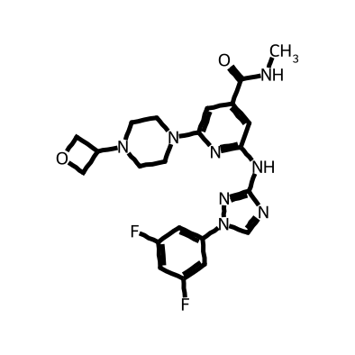 CNC(=O)c1cc(Nc2ncn(-c3cc(F)cc(F)c3)n2)nc(N2CCN(C3COC3)CC2)c1